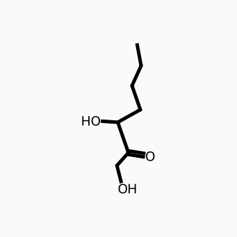 CCCCC(O)C(=O)CO